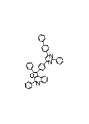 c1ccc(-c2ccc(-c3cc(-c4ccc(-c5c(-c6ccccc6)oc6c(-c7ccccc7)nc7ccccc7c56)cc4)nc(-c4ccccc4)n3)cc2)cc1